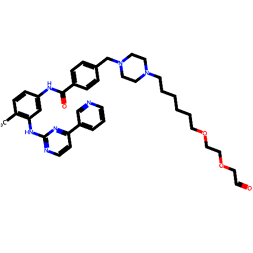 Cc1ccc(NC(=O)c2ccc(CN3CCN(CCCCCCOCCOCC=O)CC3)cc2)cc1Nc1nccc(-c2cccnc2)n1